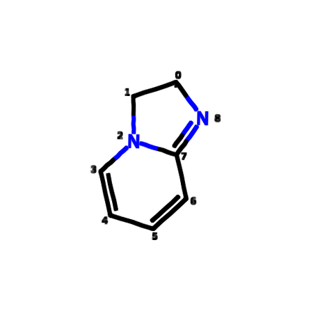 [CH]1CN2C=CC=CC2=N1